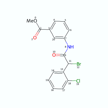 COC(=O)c1cccc(NC(=O)C(Br)c2ccccc2Cl)c1